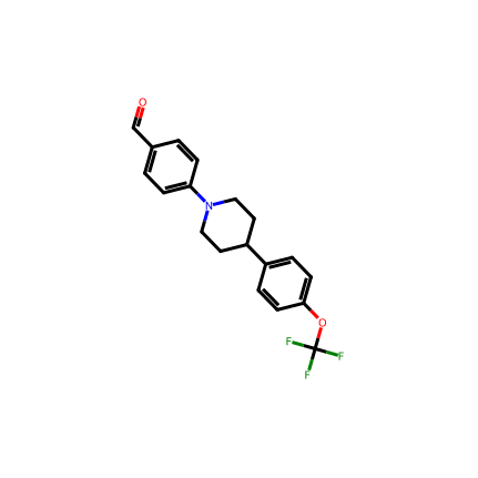 O=Cc1ccc(N2CCC(c3ccc(OC(F)(F)F)cc3)CC2)cc1